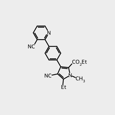 CCOC(=O)c1c(-c2ccc(-c3ncccc3C#N)cc2)c(C#N)c(CC)n1C